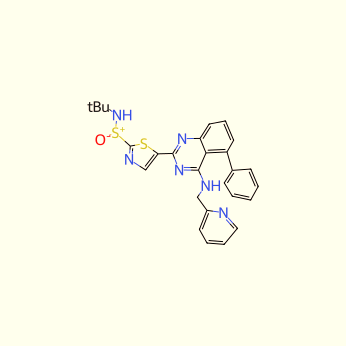 CC(C)(C)N[S+]([O-])c1ncc(-c2nc(NCc3ccccn3)c3c(-c4ccccc4)cccc3n2)s1